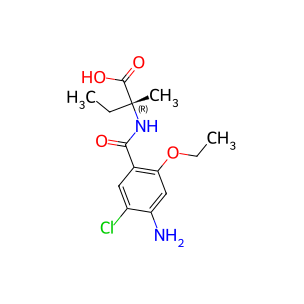 CCOc1cc(N)c(Cl)cc1C(=O)N[C@](C)(CC)C(=O)O